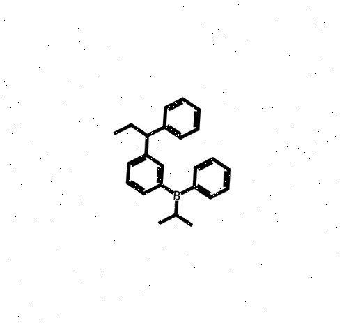 CCC(c1ccccc1)c1cccc(B(c2ccccc2)C(C)C)c1